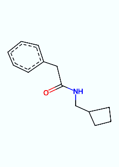 O=C(Cc1ccccc1)NCC1CCC1